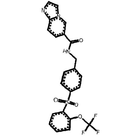 O=C(NCc1ccc(S(=O)(=O)c2ccccc2OC(F)(F)F)cc1)c1ccc2nccn2c1